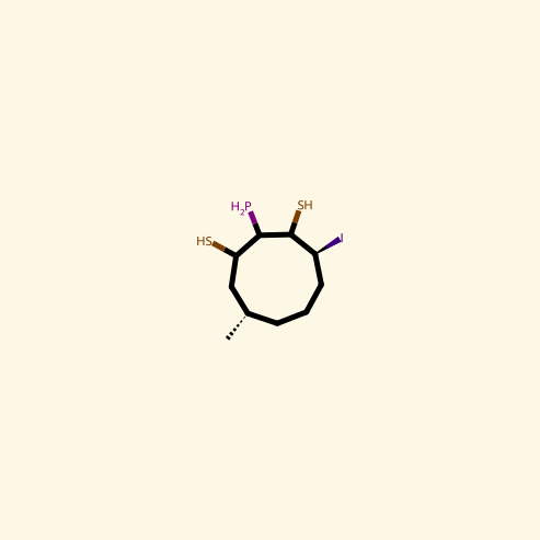 C[C@H]1CCC[C@H](I)C(S)C(P)C(S)C1